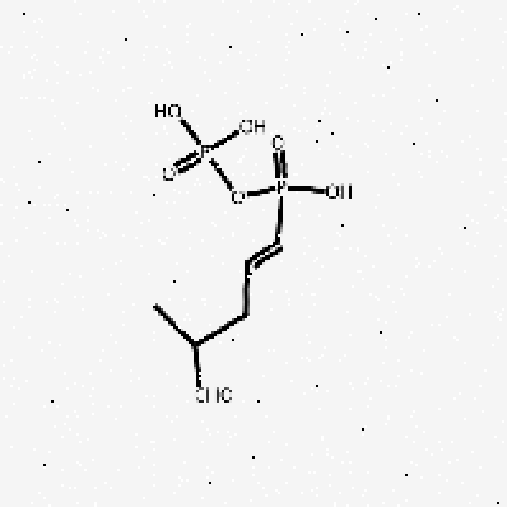 CC(C=O)C/C=C/P(=O)(O)OP(=O)(O)O